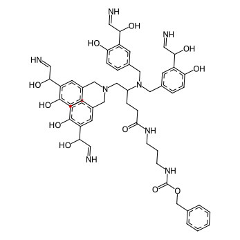 N=CC(O)c1cc(CN(Cc2ccc(O)c(C(O)C=N)c2)CC(CCC(=O)NCCCNC(=O)OCc2ccccc2)N(Cc2ccc(O)c(C(O)C=N)c2)Cc2ccc(O)c(C(O)C=N)c2)ccc1O